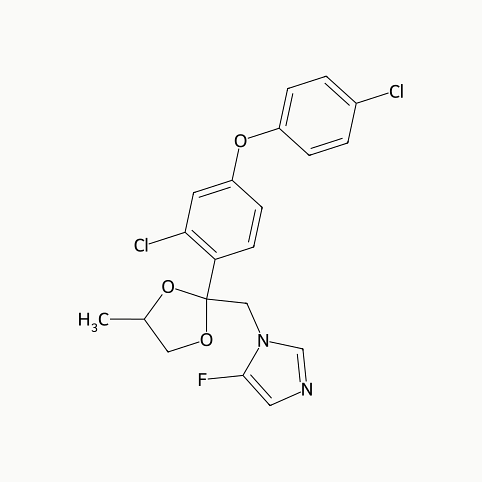 CC1COC(Cn2cncc2F)(c2ccc(Oc3ccc(Cl)cc3)cc2Cl)O1